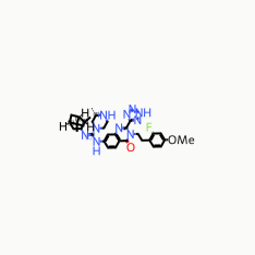 COc1ccc(CCn2c(-c3nn[nH]n3)nc3cc(N/C(=N/C4C[C@H]5C[C@@H]([C@@H]4C)C5(C)C)N4CCN[C@@H](C)C4)ccc3c2=O)c(F)c1